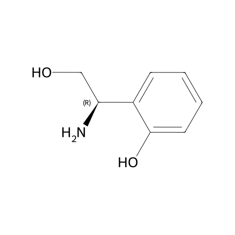 N[C@@H](CO)c1ccccc1O